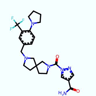 NC(=O)c1cnn(C(=O)N2CCC3(CCN(Cc4ccc(N5CCCC5)c(C(F)(F)F)c4)C3)C2)c1